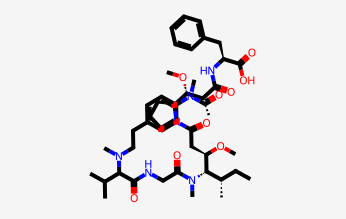 CC[C@H](C)[C@@H]([C@@H](CC(=O)N1CCC[C@H]1[C@H](OC)[C@@H](C)C(=O)N[C@@H](Cc1ccccc1)C(=O)O)OC)N(C)C(=O)CNC(=O)C(C(C)C)N(C)CCc1ccc(N(C)C=O)cc1